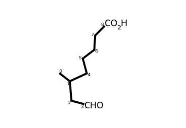 CC(CC=O)CCCCC(=O)O